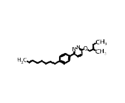 CCCCCCCCc1ccc(-c2ccc(OCC(C)CC)nn2)cc1